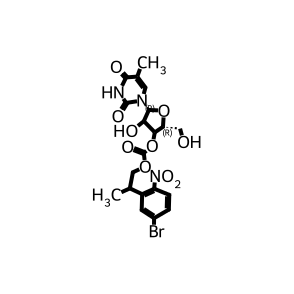 Cc1cn([C@@H]2O[C@H](CO)C(OC(=O)OCC(C)c3cc(Br)ccc3[N+](=O)[O-])C2O)c(=O)[nH]c1=O